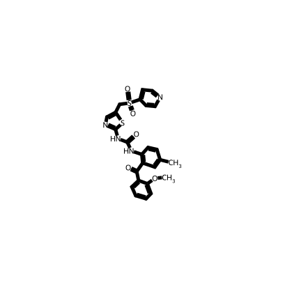 COc1ccccc1C(=O)c1cc(C)ccc1NC(=O)Nc1ncc(CS(=O)(=O)c2ccncc2)s1